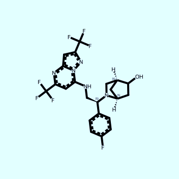 OC1C[C@@H]2C[C@H]1CN2[C@H](CNc1cc(C(F)(F)F)nc2cc(C(F)(F)F)nn12)c1ccc(F)cc1